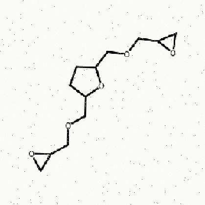 C(OCC1CCC(COCC2CO2)O1)C1CO1